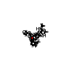 CCC[C@H](NC(=O)CN(C[C@@]12CC(=NO1)c1ccc(F)c(C(F)(F)F)c12)C(=O)[C@@H](NC(=O)O[C@H]1CCOC1)C(C)(C)C)C(=O)C(=O)NC1CC1